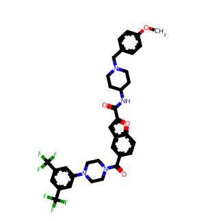 COc1ccc(CN2CCC(NC(=O)c3cc4cc(C(=O)N5CCN(c6cc(C(F)(F)F)cc(C(F)(F)F)c6)CC5)ccc4o3)CC2)cc1